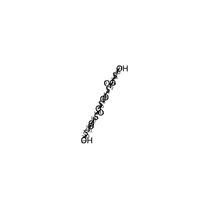 O=C(CSCCOOCSCOC(=O)CSCCOOCCSCCO)OCCSCCO